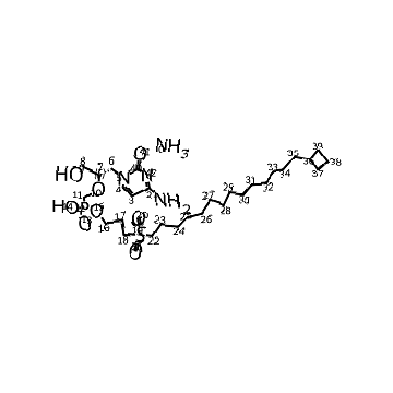 N.Nc1ccn(C[C@@H](CO)OCP(=O)(O)OCCCS(=O)(=O)CCCCCCCCCCCCCCC2CCC2)c(=O)n1